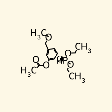 CCO[PH](=O)OCC.COCc1cccc(OC(C)=O)c1